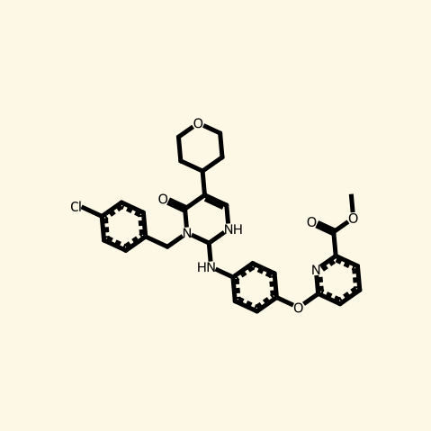 COC(=O)c1cccc(Oc2ccc(NC3NC=C(C4CCOCC4)C(=O)N3Cc3ccc(Cl)cc3)cc2)n1